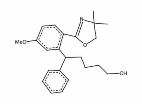 COc1ccc(C2=NC(C)(C)CO2)c(C(CCCCO)c2ccccc2)c1